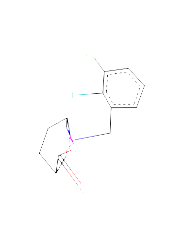 O=C1OCC2CCC1CN2Cc1cccc(Cl)c1F